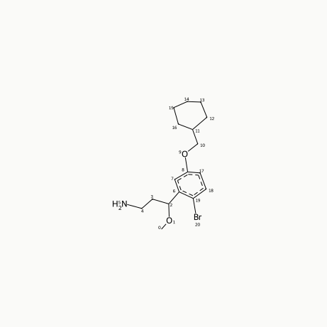 COC(CCN)c1cc(OCC2CCCCC2)ccc1Br